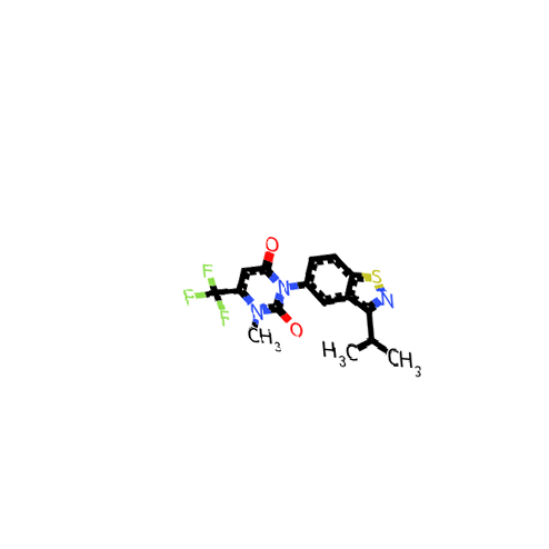 CC(C)c1nsc2ccc(-n3c(=O)cc(C(F)(F)F)n(C)c3=O)cc12